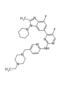 CCN1CCN(Cc2ccc(Nc3ncc(F)c(-c4cc(F)c5nc(C)n(N6CCCCC6)c5c4)n3)nc2)CC1